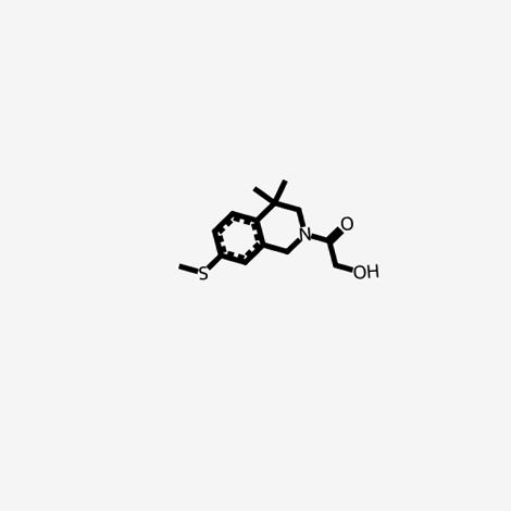 CSc1ccc2c(c1)CN(C(=O)CO)CC2(C)C